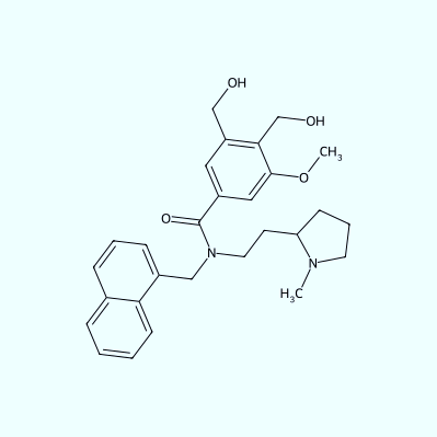 COc1cc(C(=O)N(CCC2CCCN2C)Cc2cccc3ccccc23)cc(CO)c1CO